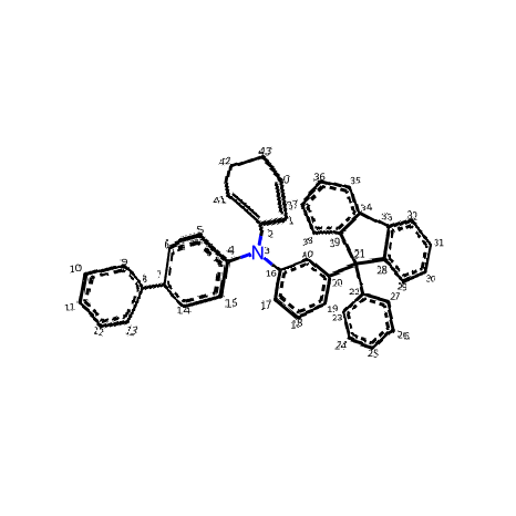 C1=CC(N(c2ccc(-c3ccccc3)cc2)c2cccc(C3(c4ccccc4)c4ccccc4-c4ccccc43)c2)=CCC1